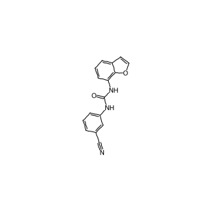 N#Cc1cccc(NC(=O)Nc2cccc3ccoc23)c1